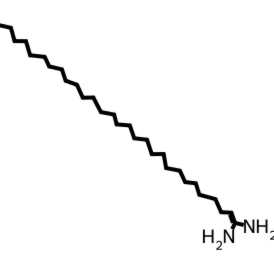 CCCCCCCCCCCCCCCCCCCCCCCCCCCC=C(N)N